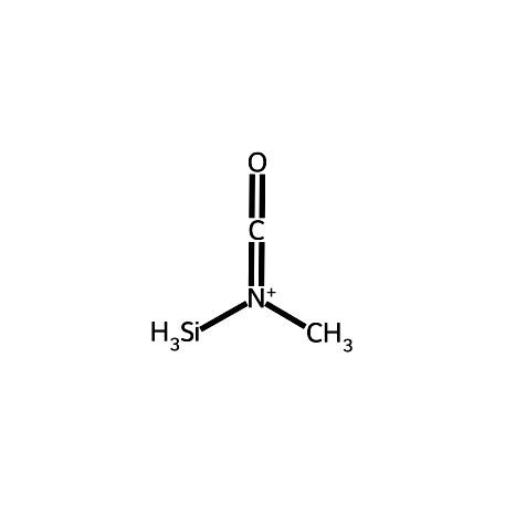 C[N+]([SiH3])=C=O